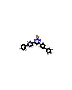 C=C(/C=C\C(=C/C)c1cc(-c2ccc(-c3ccccc3)cc2)nc(Br)n1)c1ccccc1